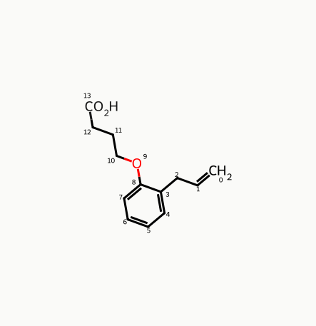 C=CCc1ccccc1OCCCC(=O)O